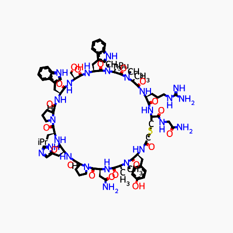 CCCC[C@H]1C(=O)N(C)[C@@H](C)C(=O)N[C@@H](CCCNC(=N)N)C(=O)NC(C(=O)NCC(N)=O)CSCC(=O)N[C@@H](Cc2ccc(O)cc2)C(=O)N(C)[C@@H](C)C(=O)N[C@@H](CC(N)=O)C(=O)N2CCC[C@H]2C(=O)N[C@@H](Cc2cnc[nH]2)C(=O)N[C@@H](CC(C)C)C(=O)N2CCC[C@H]2C(=O)N[C@@H](Cc2c[nH]c3ccccc23)C(=O)N[C@@H](CO)C(=O)N[C@@H](Cc2c[nH]c3ccccc23)C(=O)N1C